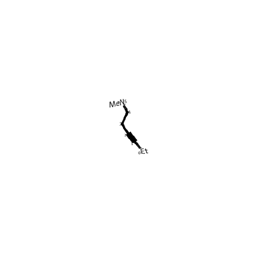 CCC#CCCNC